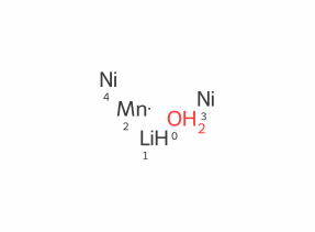 O.[LiH].[Mn].[Ni].[Ni]